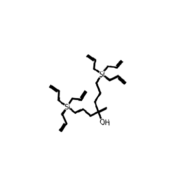 C=CC[Si](CC=C)(CC=C)CCCC(C)(O)CCC[Si](CC=C)(CC=C)CC=C